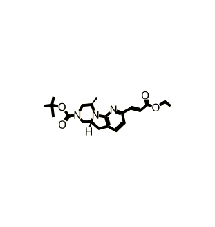 CCOC(=O)C=Cc1ccc2c(n1)N1[C@H](C2)CN(C(=O)OC(C)(C)C)C[C@H]1C